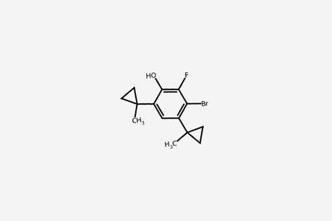 CC1(c2cc(C3(C)CC3)c(Br)c(F)c2O)CC1